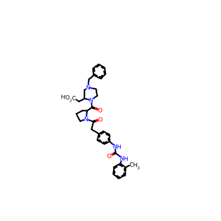 Cc1ccccc1NC(=O)Nc1ccc(CC(=O)N2CCCC2C(=O)N2CCN(Cc3ccccc3)CC2CC(=O)O)cc1